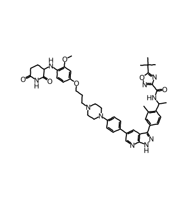 COc1cc(OCCCN2CCN(c3ccc(-c4cnc5[nH]nc(-c6ccc(C(C)NC(=O)c7noc(C(C)(C)C)n7)c(C)c6)c5c4)cc3)CC2)ccc1NC1CCC(=O)NC1=O